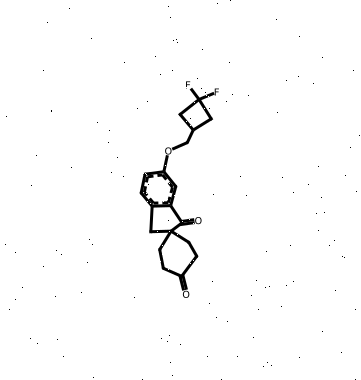 O=C1CCC2(CC1)Cc1ccc(OCC3CC(F)(F)C3)cc1C2=O